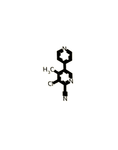 Cc1c(-c2ccncc2)cnc(C#N)c1Cl